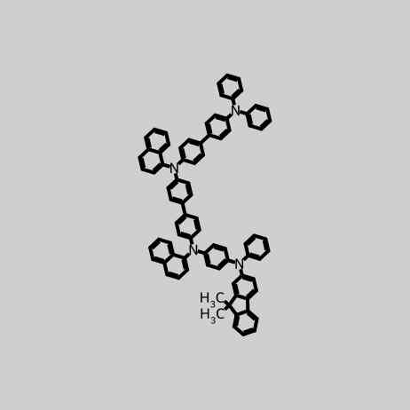 CC1(C)c2ccccc2-c2ccc(N(c3ccccc3)c3ccc(N(c4ccc(-c5ccc(N(c6ccc(-c7ccc(N(c8ccccc8)c8ccccc8)cc7)cc6)c6cccc7ccccc67)cc5)cc4)c4cccc5ccccc45)cc3)cc21